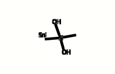 C[Si](C)(O)O.[Sn]